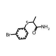 CC(Sc1cccc(Br)c1)C(N)=O